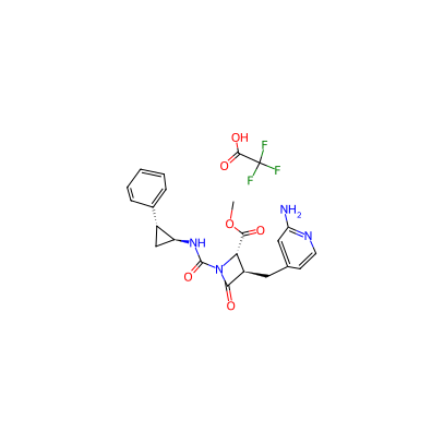 COC(=O)[C@@H]1[C@@H](Cc2ccnc(N)c2)C(=O)N1C(=O)N[C@H]1C[C@@H]1c1ccccc1.O=C(O)C(F)(F)F